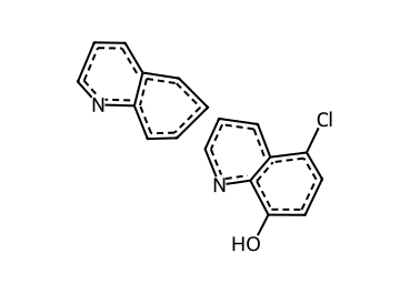 Oc1ccc(Cl)c2cccnc12.c1ccc2ncccc2c1